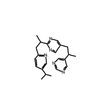 CC(C)c1ccc(CC(C)c2ncc(CC(C)c3cncnc3)cn2)nc1